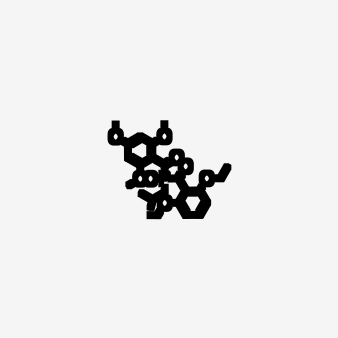 CCOc1cccc(OCC)c1C(=O)P(=O)(CC(C)C)C(=O)c1c(OC)cc(OC)cc1OC